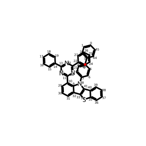 c1ccc(-c2ccc(-n3c4c(-c5nc(-c6ccccc6)nc(-c6ccccc6)n5)cccc4c4sc5ccccc5c43)cc2)cc1